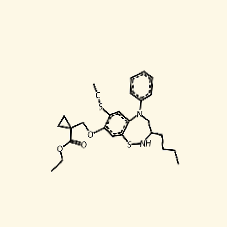 CCCCC1CN(c2ccccc2)c2cc(SCC)c(OCC3(C(=O)OCC)CC3)cc2SN1